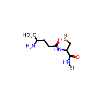 CCNC(=O)C(CS)NC(=O)CCC(N)C(=O)O